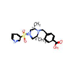 C[C@@H]1CN(S(=O)(=O)c2cccnc2)C[C@H](C)N1Cc1ccc(C(=O)O)cc1